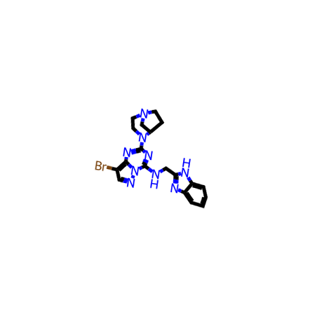 Brc1cnn2c(NCc3nc4ccccc4[nH]3)nc(N3CCN4CCC3C4)nc12